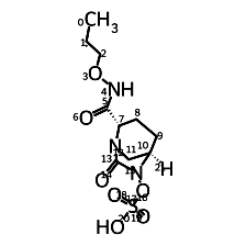 C[CH]CONC(=O)[C@@H]1CC[C@@H]2CN1C(=O)N2OS(=O)(=O)O